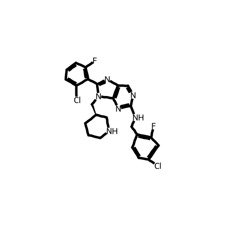 Fc1cc(Cl)ccc1CNc1ncc2nc(-c3c(F)cccc3Cl)n(C[C@@H]3CCCNC3)c2n1